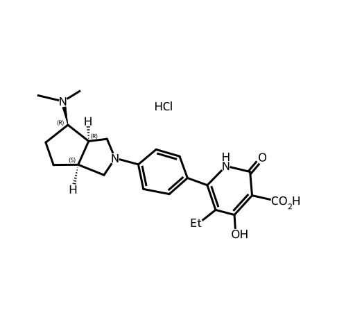 CCc1c(-c2ccc(N3C[C@H]4CC[C@@H](N(C)C)[C@H]4C3)cc2)[nH]c(=O)c(C(=O)O)c1O.Cl